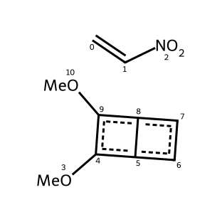 C=C[N+](=O)[O-].COc1c2ccc-2c1OC